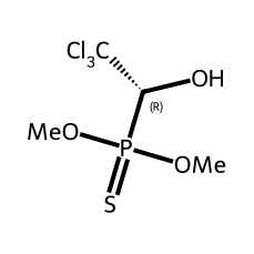 COP(=S)(OC)[C@@H](O)C(Cl)(Cl)Cl